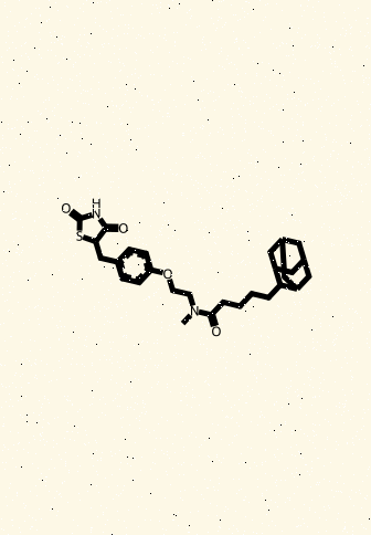 CN(CCOc1ccc(CC2SC(=O)NC2=O)cc1)C(=O)CCCCC1C2CC3CC(C2)CC1C3